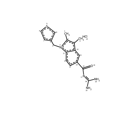 Cc1c(C)n(Cc2ccsc2)c2ccc(C(=O)N=C(N)N)cc12.Cl